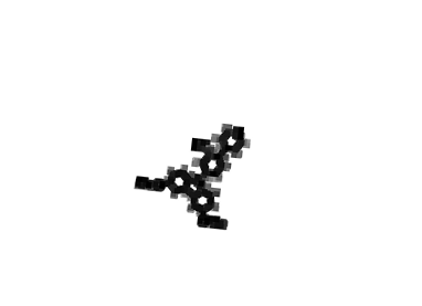 COc1ccc2c(c1)c1cc(OC)ccc1n2-c1ccc(-c2ccncc2)c(C#N)c1